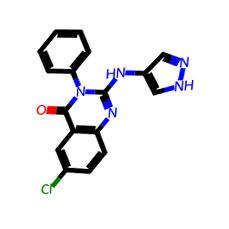 O=c1c2cc(Cl)ccc2nc(Nc2cn[nH]c2)n1-c1ccccc1